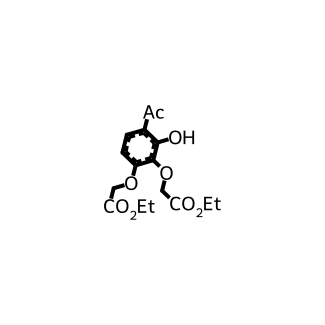 CCOC(=O)COc1ccc(C(C)=O)c(O)c1OCC(=O)OCC